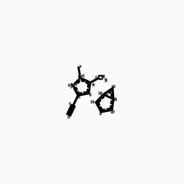 C#Cc1cc(C(F)(F)F)n(C)n1.c1cc2cc-2c1